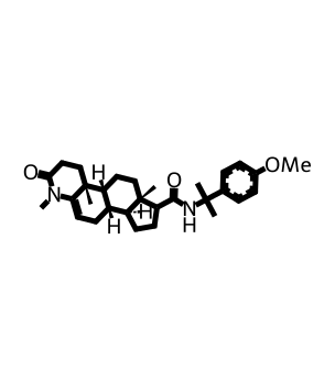 COc1ccc(C(C)(C)NC(=O)C2CC[C@H]3[C@@H]4CC=C5N(C)C(=O)CC[C@]5(C)[C@@H]4CC[C@]23C)cc1